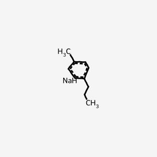 CCCc1ccc(C)cc1.[NaH]